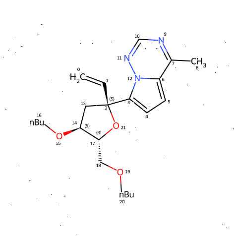 C=C[C@]1(c2ccc3c(C)ncnn23)C[C@H](OCCCC)[C@@H](COCCCC)O1